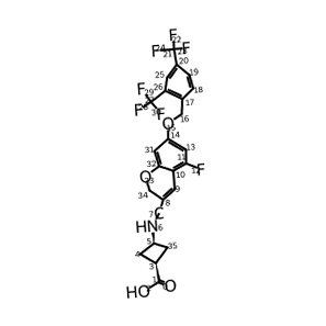 O=C(O)[C@H]1C[C@@H](NCC2=Cc3c(F)cc(OCc4ccc(C(F)(F)F)cc4C(F)(F)F)cc3OC2)C1